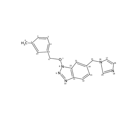 Cc1cccc(COn2nnc3ccc(Cn4ccnc4)cc32)c1